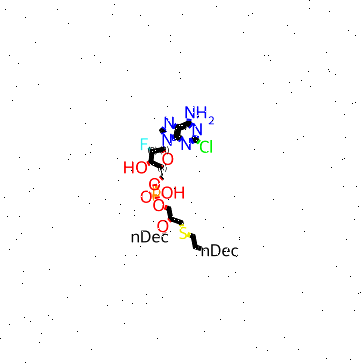 CCCCCCCCCCCCSCC(COP(=O)(O)OC[C@H]1O[C@@H](n2cnc3c(N)nc(Cl)nc32)[C@H](F)C1O)OCCCCCCCCCC